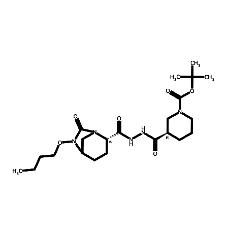 CCCCON1C(=O)N2CC1CC[C@H]2C(=O)NNC(=O)[C@@H]1CCCN(C(=O)OC(C)(C)C)C1